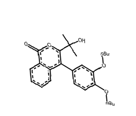 CCCCOc1ccc(-c2c(C(C)(C)O)oc(=O)c3ccccc23)cc1OCCCC